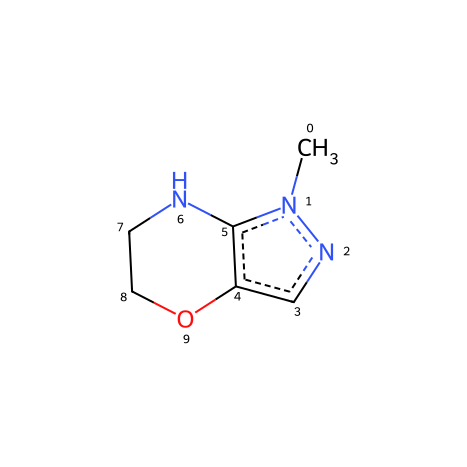 Cn1ncc2c1NCCO2